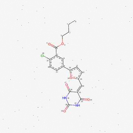 CCCCOC(=O)c1cc(-c2ccc(C=C3C(=O)NC(=O)NC3=O)o2)ccc1Cl